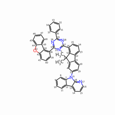 CC1(C)c2cc(-n3c4ccccc4c4cccnc43)ccc2-c2cccc(-c3nc(-c4ccccc4)nc(-c4cccc5oc6ccccc6c45)n3)c21